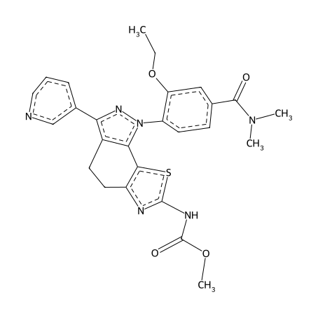 CCOc1cc(C(=O)N(C)C)ccc1-n1nc(-c2cccnc2)c2c1-c1sc(NC(=O)OC)nc1CC2